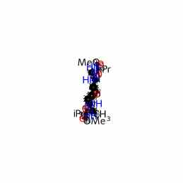 COC(=O)N[C@H](C(=O)N1CCC[C@H]1c1ncc(-c2ccc3c(c2)COc2cc4c(ccc5nc([C@@H]6CC(C)CN6C(=O)[C@@H](NC(=O)OC)C(C)C)[nH]c54)cc2-3)[nH]1)C(C)C